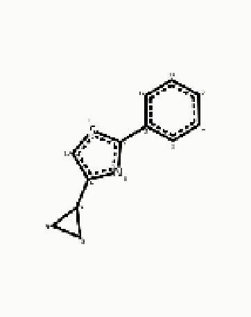 c1ccc(-c2nc(C3CC3)cs2)cc1